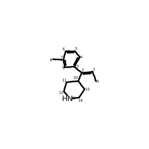 CC=C(c1cccc(C)c1)C1CCNCC1